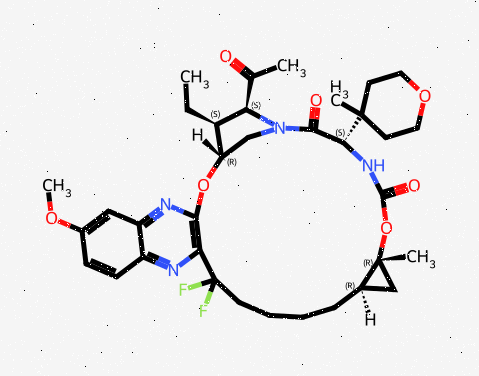 CC[C@@H]1[C@@H]2CN(C(=O)[C@H](C3(C)CCOCC3)NC(=O)O[C@]3(C)C[C@H]3CCCCC(F)(F)c3nc4ccc(OC)cc4nc3O2)[C@@H]1C(C)=O